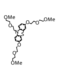 COCCOCCOc1ccc2c(c1)Sc1cc(OCCOCCOC)ccc1N2CCOCCOC